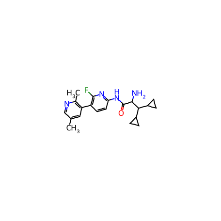 Cc1cnc(C)c(-c2ccc(NC(=O)C(N)C(C3CC3)C3CC3)nc2F)c1